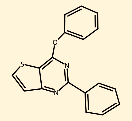 c1ccc(Oc2nc(-c3ccccc3)nc3ccsc23)cc1